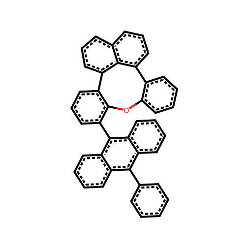 c1ccc(-c2c3ccccc3c(-c3cccc4c3Oc3ccccc3-c3cccc5cccc-4c35)c3ccccc23)cc1